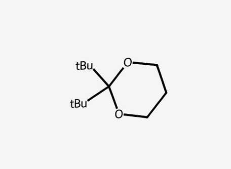 CC(C)(C)C1(C(C)(C)C)OCCCO1